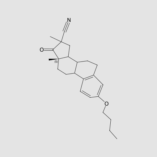 CCCCOc1ccc2c(c1)CCC1C2CC[C@]2(C)C(=O)C(C)(C#N)CC12